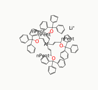 CCCCCC(/C=[CH]/[Al-](/[CH]=C/C(CCCCC)OC(c1ccccc1)(c1ccccc1)c1ccccc1)(/[CH]=C/C(CCCCC)OC(c1ccccc1)(c1ccccc1)c1ccccc1)/[CH]=C/C(CCCCC)OC(c1ccccc1)(c1ccccc1)c1ccccc1)OC(c1ccccc1)(c1ccccc1)c1ccccc1.[Li+]